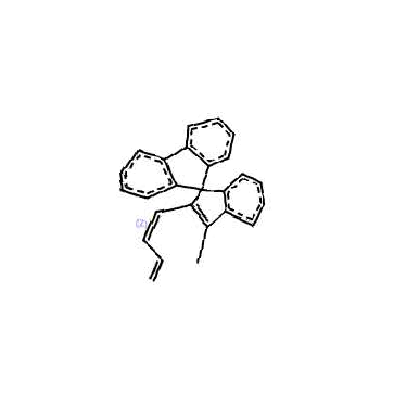 C=C/C=C\C1=C(C)c2ccccc2C12c1ccccc1-c1ccccc12